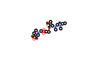 CC1(C)c2ccc(N(c3ccccc3)c3ccc4c(c3)-c3ccccc3C43c4ccccc4Sc4cc(-c5cccc6cc7c(cc56)Oc5ccc(N(c6ccccc6)c6cccc8c6-c6ccccc6C86c8ccccc8Oc8ccccc86)cc5O7)ccc43)cc2N(c2ccccc2)c2cc3ccccc3cc21